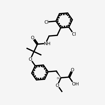 CO[C@@H](Cc1cccc(OC(C)(C)C(=O)NCCc2c(Cl)cccc2Cl)c1)C(=O)O